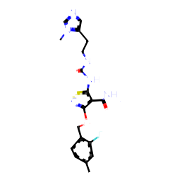 Cc1ccc(COc2nsc(NC(=O)NCCc3cncn3C)c2C(N)=O)c(F)c1